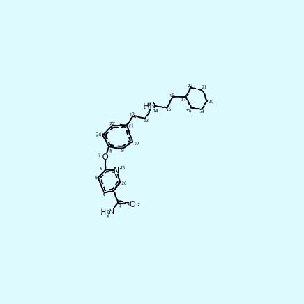 NC(=O)c1ccc(Oc2ccc(CCNCCC3CCCCC3)cc2)nc1